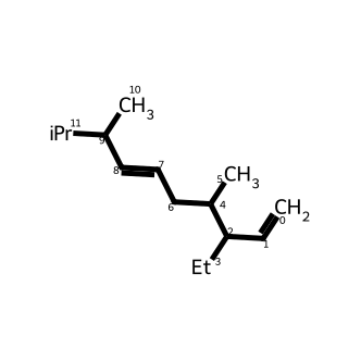 C=CC(CC)C(C)CC=CC(C)C(C)C